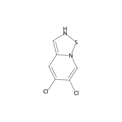 ClC1=CC2=CNSN2C=C1Cl